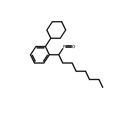 CCCCCCCC(P=O)c1ccccc1C1CCCCC1